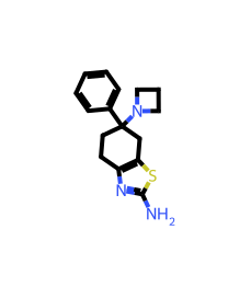 Nc1nc2c(s1)CC(c1ccccc1)(N1CCC1)CC2